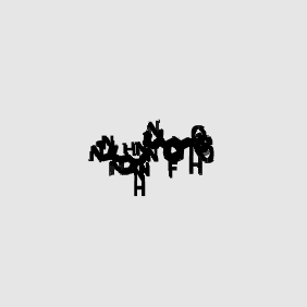 CS(=O)(=O)NCc1cc(F)cc(-c2cncc3[nH]c(-c4n[nH]c5cnc(-c6cncnc6)cc45)nc23)c1